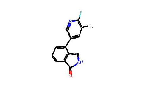 Cc1cc(-c2cccc3c2CNC3=O)cnc1F